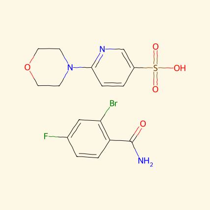 NC(=O)c1ccc(F)cc1Br.O=S(=O)(O)c1ccc(N2CCOCC2)nc1